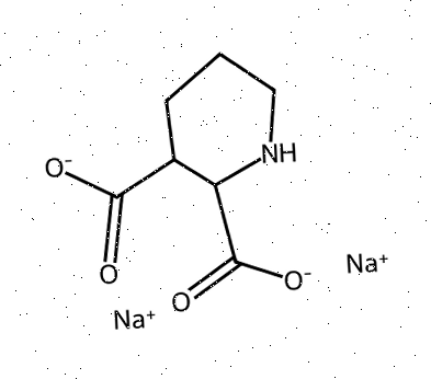 O=C([O-])C1CCCNC1C(=O)[O-].[Na+].[Na+]